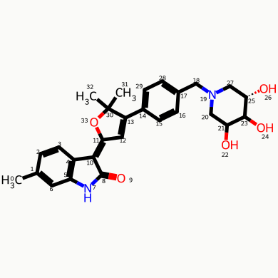 Cc1ccc2c(c1)NC(=O)/C2=C1\C=C(c2ccc(CN3CC(O)C(O)[C@@H](O)C3)cc2)C(C)(C)O1